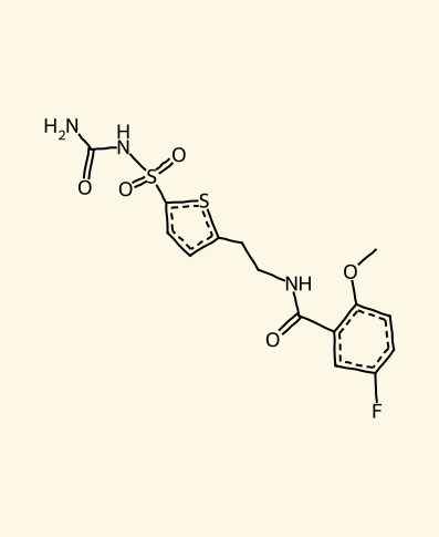 COc1ccc(F)cc1C(=O)NCCc1ccc(S(=O)(=O)NC(N)=O)s1